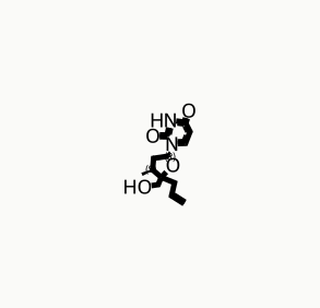 C=CCC1(CO)O[C@@H](n2ccc(=O)[nH]c2=O)C[C@@H]1C